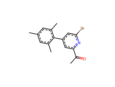 CC(=O)c1cc(-c2c(C)cc(C)cc2C)cc(Br)n1